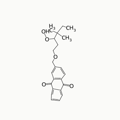 CCC(C)(C)C(CCOCc1ccc2c(c1)C(=O)c1ccccc1C2=O)OO